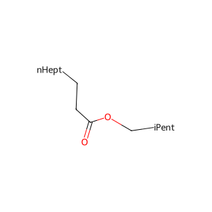 CCCCCCCCCC(=O)OCC(C)CCC